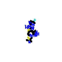 Cc1nc(C)c(CN2CCc3sc(Nc4ncc(F)cn4)nc3-c3cn[nH]c32)s1